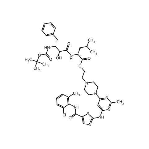 Cc1nc(Nc2ncc(C(=O)Nc3c(C)cccc3Cl)s2)cc(N2CCN(CCOC(=O)[C@H](CC(C)C)NC(=O)[C@@H](O)[C@@H](Cc3ccccc3)NC(=O)OC(C)(C)C)CC2)n1